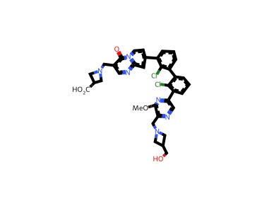 COc1nc(-c2cccc(-c3cccc(-c4ccn5c(=O)c(CN6CC(C(=O)O)C6)cnc5c4)c3Cl)c2Cl)cnc1CN1CC(CO)C1